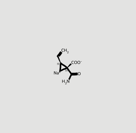 C=C[C@@H]1C[C@]1(C(N)=O)C(=O)[O-].[Na+]